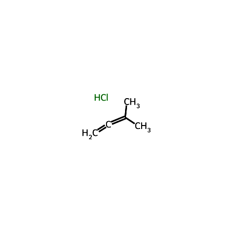 C=C=C(C)C.Cl